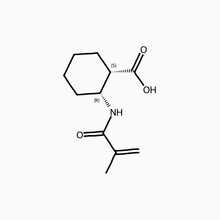 C=C(C)C(=O)N[C@@H]1CCCC[C@@H]1C(=O)O